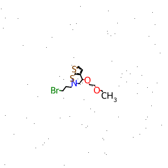 CCOCCOC1CN(CCCBr)Sc2sccc21